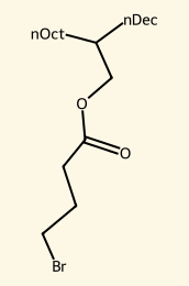 CCCCCCCCCCC(CCCCCCCC)COC(=O)CCCBr